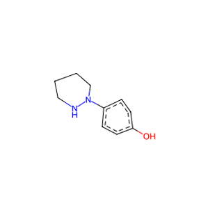 Oc1ccc(N2CCCCN2)cc1